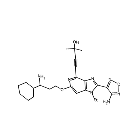 CCn1c(-c2nonc2N)nc2c(C#CC(C)(C)O)nc(OCCC(N)C3CCCCC3)cc21